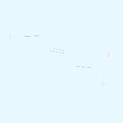 COC=CCC(C)C